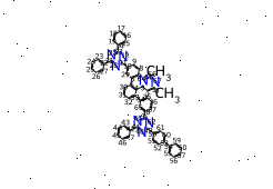 Cc1cc(-c2c(-c3cccc(-c4nc(-c5ccccc5)nc(-c5ccccc5)n4)c3)cccc2-c2cccc(-c3nc(-c4ccccc4)nc(-c4ccc(-c5ccccc5)cc4)n3)c2)nc(C)n1